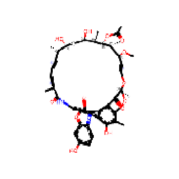 CO[C@H]1/C=C/O[C@@]2(C)Oc3c(C)c(O)c4c(=O)c(c5oc6cc(O)ccc6nc-5c4c3C2=O)NC(=O)/C(C)=C\C=C\[C@H](C)[C@H](O)C[C@@H](O)[C@@H](C)[C@H](OC(C)=O)[C@@H]1C